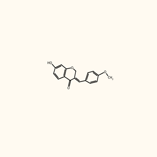 COc1ccc(/C=C2\COc3cc(O)ccc3C2=O)cc1